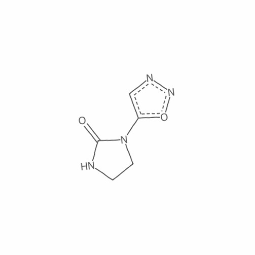 O=C1NCCN1c1cnno1